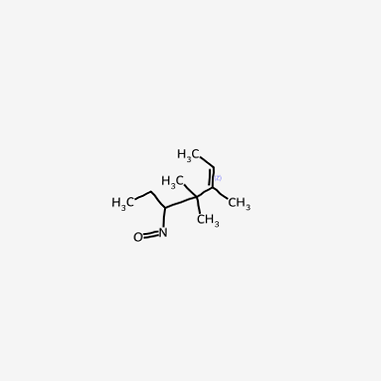 C/C=C(/C)C(C)(C)C(CC)N=O